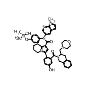 Cn1ccc2cc(N(C(=O)c3cc(-c4ccc(O)cc4C(=O)N4Cc5ccccc5CC4CN4CCOCC4)n4c3CCCC4)c3ccc(O[Si](C)(C)C(C)(C)C)cc3)cnc21